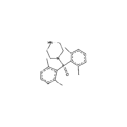 Cc1cccc(C)c1P(=O)(c1c(C)cccc1C)N1CCNCC1